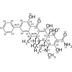 C[C@H]1[C@H]2C(=C(O)[C@]3(O)C(=O)C(C(N)=O)=C(O)[C@@H](N(C)C)[C@H]13)C(=O)c1c(O)cc(-c3ccccc3)cc1[C@@H]2C